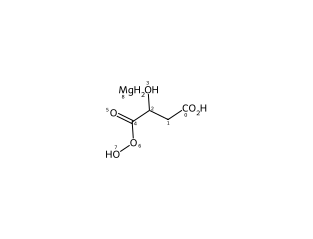 O=C(O)CC(O)C(=O)OO.[MgH2]